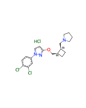 Cl.Clc1ccc(-n2ccc(OC[C@@H]3CC[C@@H]3CN3CCCC3)n2)cc1Cl